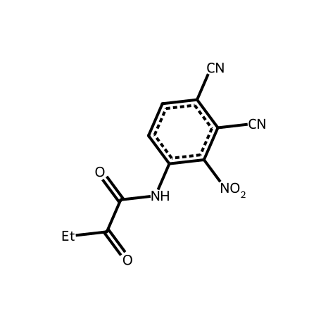 CCC(=O)C(=O)Nc1ccc(C#N)c(C#N)c1[N+](=O)[O-]